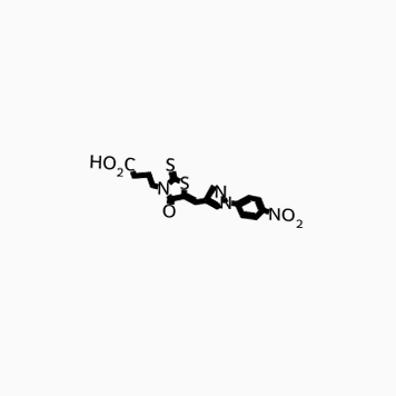 O=C(O)CCCN1C(=O)C(=Cc2cnn(-c3ccc([N+](=O)[O-])cc3)c2)SC1=S